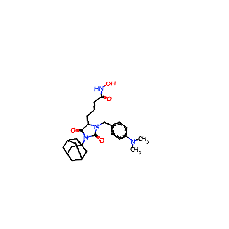 CN(C)c1ccc(CN2C(=O)N(C34CC5CC(CC(C5)C3)C4)C(=O)C2CCCC(=O)NO)cc1